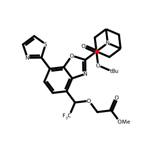 COC(=O)COC(c1ccc(-c2nccs2)c2oc(N3CC4CC(C3)N4C(=O)OC(C)(C)C)nc12)C(F)(F)F